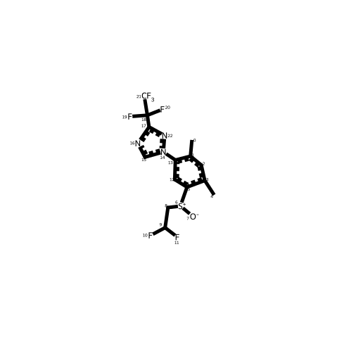 Cc1cc(C)c([S+]([O-])CC(F)F)cc1-n1cnc(C(F)(F)C(F)(F)F)n1